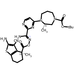 C[C@H]1CN(C(=O)OC(C)(C)C)CCCN1c1ccnc(/C(N)=N/OC(=O)[C@@]2(C)CCCc3sc(N)c(C#N)c32)n1